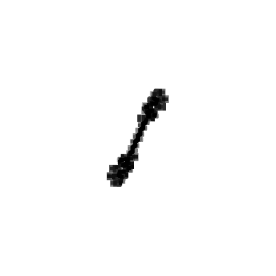 OC[C@H]1O[C@@H](n2cnc3c(NCCCCCCCCCCCCNc4ncnc5c4ncn5[C@@H]4O[C@H](CO)C(O)C4O)ncnc32)C(O)C1O